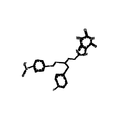 O=c1[nH]c(=O)c2[nH]c(CCC(CCc3ccc([N+](=O)[O-])cc3)Cc3ccc(F)cc3)nc2[nH]1